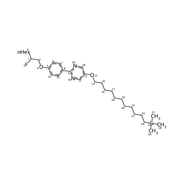 CCCCCCC(F)COc1ccc(-c2ncc(OCCCCCCCCCCC[Si](C)(C)C)cn2)cc1